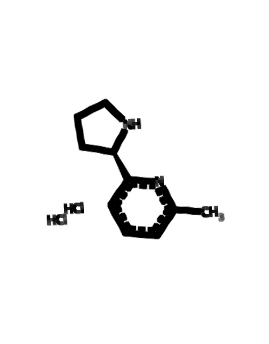 Cc1cccc([C@H]2CCCN2)n1.Cl.Cl